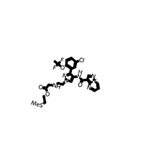 CSCCOC(=O)CNCCn1cc(NC(=O)c2cnn3cccnc23)c(-c2cc(Cl)ccc2OC(C)(F)F)n1